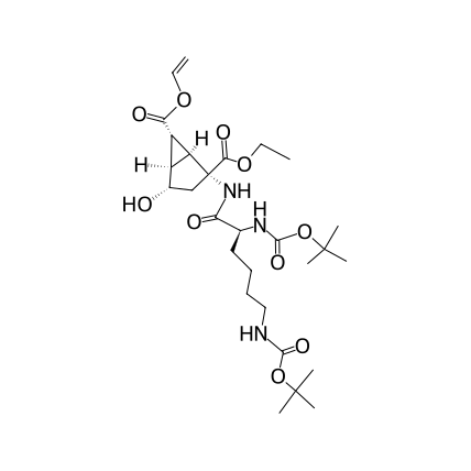 C=COC(=O)[C@H]1[C@H]2[C@@H]1[C@@](NC(=O)[C@H](CCCCNC(=O)OC(C)(C)C)NC(=O)OC(C)(C)C)(C(=O)OCC)C[C@@H]2O